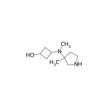 CN(C1CC(O)C1)C1(C)CCNC1